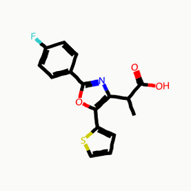 CC(C(=O)O)c1nc(-c2ccc(F)cc2)oc1-c1cccs1